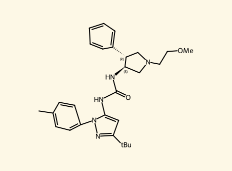 COCCN1C[C@@H](NC(=O)Nc2cc(C(C)(C)C)nn2-c2ccc(C)cc2)[C@H](c2ccccc2)C1